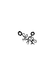 COC(=O)C(=C(C)C)N1C(=O)C(NC(=O)COc2ccccc2)C1/C=C/c1ccccc1